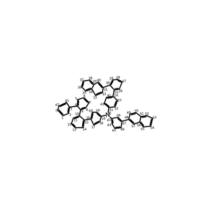 c1ccc(-c2ccccc2-c2ccccc2-c2ccc(N(c3ccc(-c4ccccc4-c4ccc5ccccc5c4)cc3)c3cccc(-c4ccc5ccccc5c4)c3)cc2)cc1